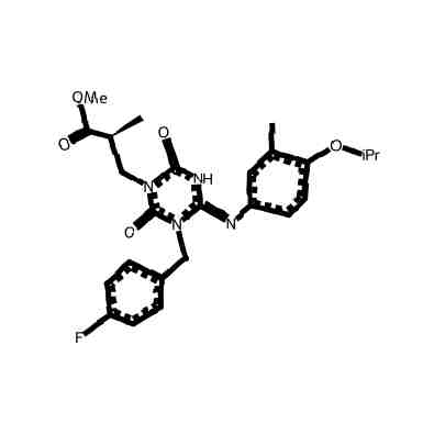 COC(=O)[C@@H](C)Cn1c(=O)[nH]/c(=N\c2ccc(OC(C)C)c(C)c2)n(Cc2ccc(F)cc2)c1=O